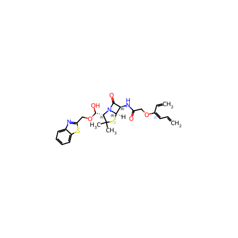 C=C/C=C(\C=C)OCC(=O)N[C@@H]1C(=O)N2[C@@H]1SC(C)(C)[C@@H]2C(O)OCc1nc2ccccc2s1